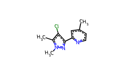 Cc1ccnc(-c2nn(C)c(C)c2Cl)c1